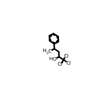 CC(CC(O)C(Cl)(Cl)Cl)c1ccccc1